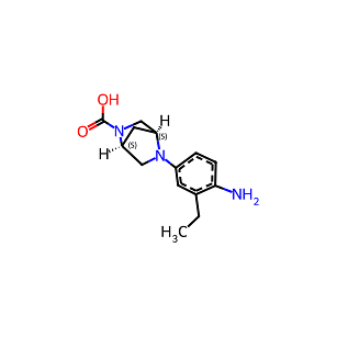 CCc1cc(N2C[C@@H]3C[C@H]2CN3C(=O)O)ccc1N